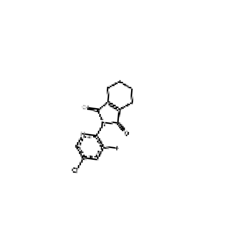 O=C1C2=C(CCCC2)C(=O)N1c1ncc(Cl)cc1F